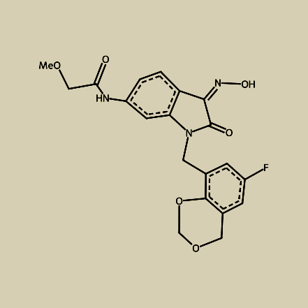 COCC(=O)Nc1ccc2c(c1)N(Cc1cc(F)cc3c1OCOC3)C(=O)/C2=N\O